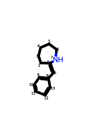 C(=C1CCCCCN1)c1ccccc1